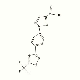 O=C(O)c1cnn(-c2ccc(-c3noc(C(F)(F)F)n3)cc2)c1